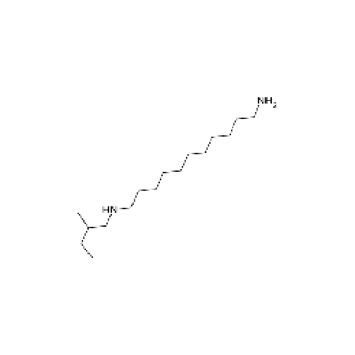 CCC(C)CNCCCCCCCCCCCN